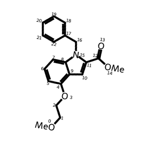 COCCOc1cccc2c1cc(C(=O)OC)n2Cc1ccccc1